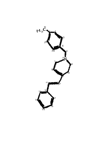 Cc1ccc(CN2CC=C(C=Cc3ccccc3)CC2)cc1